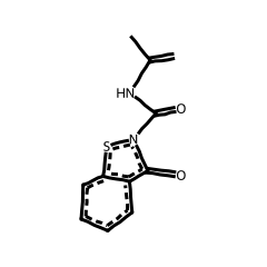 C=C(C)NC(=O)n1sc2ccccc2c1=O